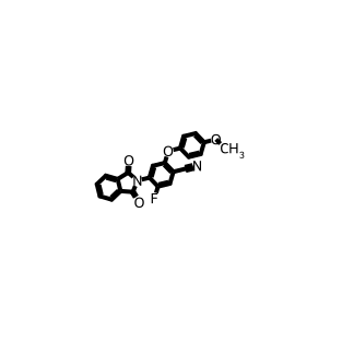 COc1ccc(Oc2cc(N3C(=O)c4ccccc4C3=O)c(F)cc2C#N)cc1